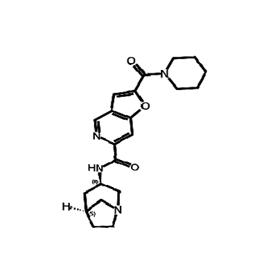 O=C(N[C@@H]1C[C@@H]2CCN(C2)C1)c1cc2oc(C(=O)N3CCCCC3)cc2cn1